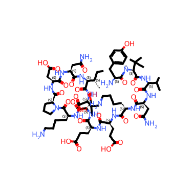 CC[C@H](C)[C@H](NC(=O)[C@H](CC(N)=O)NC(=O)[C@H](CC(=O)O)NC(=O)[C@@H]1CCCN1C(=O)[C@H](CCCCN)NC(=O)[C@H](CO)NC(=O)[C@H](CCC(=O)O)NC(=O)[C@H](CCC(=O)O)NC(=O)[C@H](CCCCN)NC(=O)[C@H](CC(N)=O)NC(=O)[C@@H](NC(=O)[C@@H](N(C)C(=O)[C@@H](N)Cc1ccc(O)cc1)C(C)(C)C)C(C)C)C(=O)N[C@H](C(=O)O)C(C)C